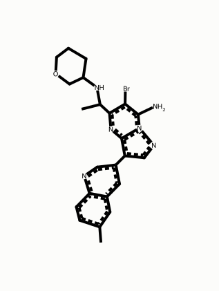 Cc1ccc2ncc(-c3cnn4c(N)c(Br)c(C(C)NC5CCCOC5)nc34)cc2c1